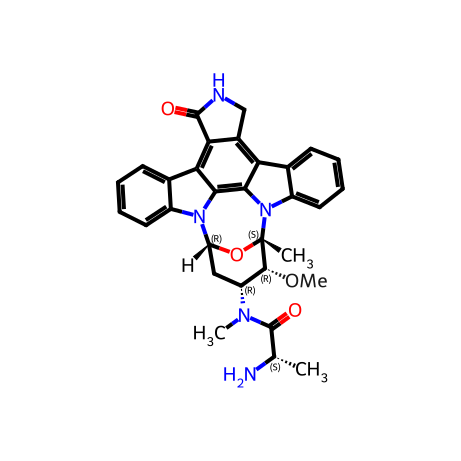 CO[C@@H]1[C@H](N(C)C(=O)[C@H](C)N)C[C@H]2O[C@]1(C)n1c3ccccc3c3c4c(c5c6ccccc6n2c5c31)C(=O)NC4